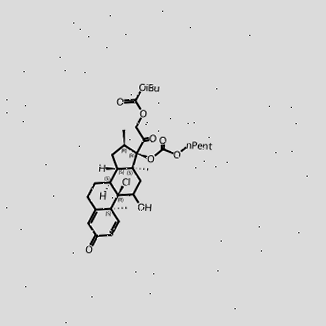 CCCCCOC(=O)O[C@]1(C(=O)COC(=O)OCC(C)C)[C@H](C)C[C@H]2[C@@H]3CCC4=CC(=O)C=C[C@]4(C)[C@@]3(Cl)C(O)C[C@@]21C